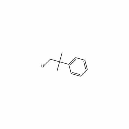 [Li][CH2]C(C)(C)c1ccccc1